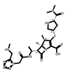 CNCc1nnnn1CC(=O)NC(C)[C@H]1C(=O)N2C(C(=O)O)=C(S[C@@H]3CN[C@H](C(=O)N(C)C)C3)[C@H](C)[C@H]12